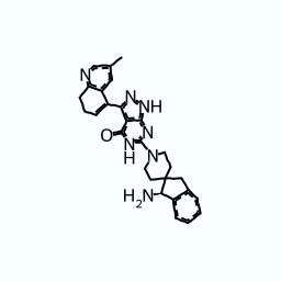 Cc1cnc2c(c1)C(c1n[nH]c3nc(N4CCC5(CC4)Cc4ccccc4[C@H]5N)[nH]c(=O)c13)=CCC2